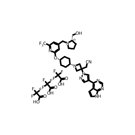 N#CCC1(n2cc(-c3ncnc4[nH]ccc34)cn2)CN([C@H]2CC[C@@H](Oc3cc(CN4CCC[C@H]4CO)cc(C(F)(F)F)n3)CC2)C1.O=C(O)C(F)(F)F.O=C(O)C(F)(F)F.O=C(O)C(F)(F)F